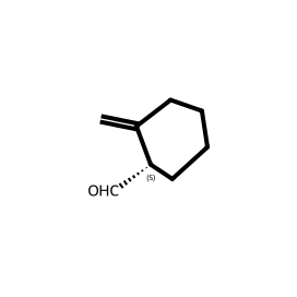 C=C1CCCC[C@@H]1C=O